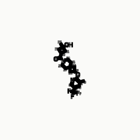 Cc1cc(C(F)(F)F)cnc1OC1CC2(CCN(C(=O)C3CC(C)(O)C3)CC2)C1